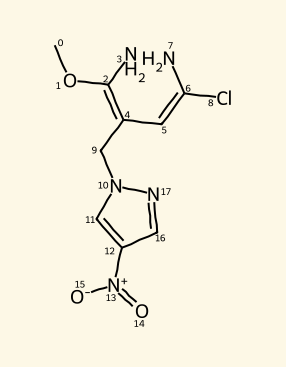 CO/C(N)=C(/C=C(\N)Cl)Cn1cc([N+](=O)[O-])cn1